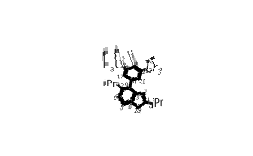 CC(C)C1=Cc2c(ccc(C(C)C)c2-c2cc(C(F)(F)F)cc(C(F)(F)F)c2)[CH]1